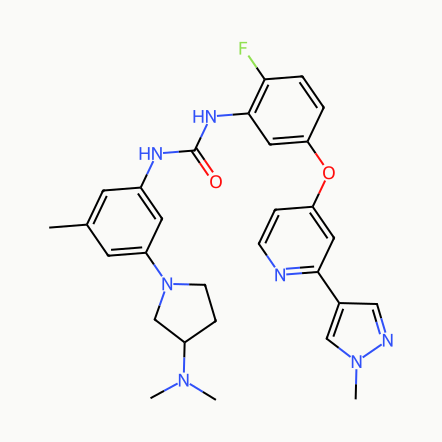 Cc1cc(NC(=O)Nc2cc(Oc3ccnc(-c4cnn(C)c4)c3)ccc2F)cc(N2CCC(N(C)C)C2)c1